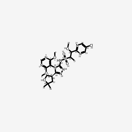 COc1ncnc(OC)c1-n1c(NS(=O)(=O)C(C)C(OC)c2ncc(Cl)cn2)nnc1[C@@H]1COC(C)(C)C1